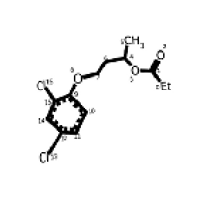 CCC(=O)OC(C)CCOc1ccc(Cl)cc1Cl